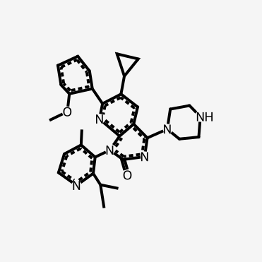 COc1ccccc1-c1nc2c(cc1C1CC1)c(N1CCNCC1)nc(=O)n2-c1c(C)ccnc1C(C)C